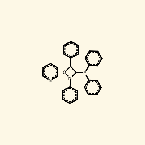 c1ccc(C2[O][Ni]([c]3ccccc3)[CH]2P(c2ccccc2)c2ccccc2)cc1.c1ccncc1